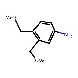 COCc1ccc(N)cc1COC